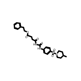 CC1CCN(S(=O)(=O)c2ccc(NC(=S)NC(=O)CCC(=O)OCCc3ccccc3)cc2)CC1